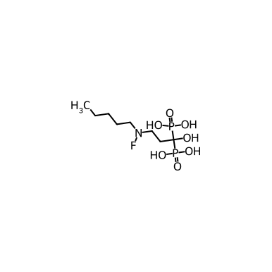 CCCCCN(F)CCC(O)(P(=O)(O)O)P(=O)(O)O